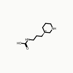 O=C(O)NCCC[C@H]1CCCNC1